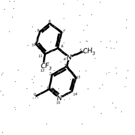 [C]c1cc(N(C)c2ccccc2C(F)(F)F)ccn1